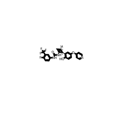 O=C(Nc1ccc(F)c(C(F)(F)F)c1)N[C@@]12C[C@H]1[C@H]2c1cc(Oc2ccncc2)ccc1O